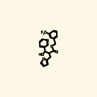 O=C(OCc1cccc(C(F)(F)F)c1)C(Cc1ccco1)C(O)c1cccnc1